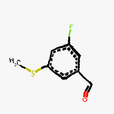 CSc1cc(F)cc(C=O)c1